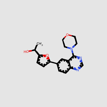 CC(O)c1ccc(-c2ccc3ncnc(N4CCOCC4)c3c2)o1